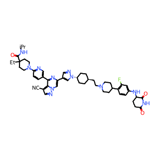 CCC1(C(=O)NC(C)C)CCN(c2ccc(-c3nc(-c4cnn([C@H]5CC[C@H](CCN6CCC(c7ccc(NC8CCC(=O)NC8=O)cc7F)CC6)CC5)c4)cn4ncc(C#N)c34)cn2)CC1